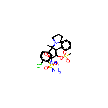 CC(c1ccc(Cl)c(S(N)(=O)=O)c1)(C(c1ccccc1)C(OS(C)(=O)=O)C(N)=O)N1CCCC1